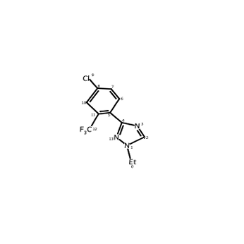 CCn1[c]nc(-c2ccc(Cl)cc2C(F)(F)F)n1